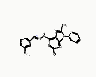 Cc1cccc(/C=N/Nc2nc(Cl)nc3c2nc(C)n3-c2ccccn2)c1